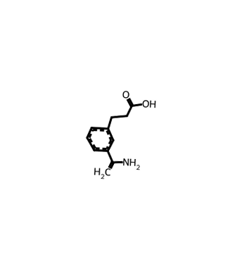 C=C(N)c1cccc(CCC(=O)O)c1